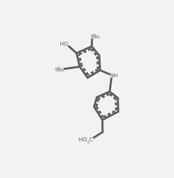 CC(C)(C)c1cc(Nc2ccc(CC(=O)O)cc2)cc(C(C)(C)C)c1O